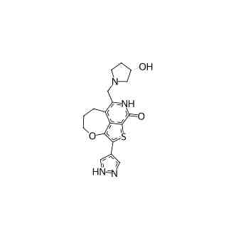 O=c1[nH]c(CN2CC[C@H](O)C2)c2c3c(c(-c4cn[nH]c4)sc13)OCCC2